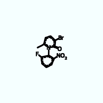 Cc1ccc(Br)c(=O)n1-c1c(F)cccc1[N+](=O)[O-]